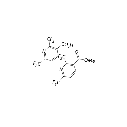 COC(=O)c1ccc(C(F)(F)F)nc1C(F)(F)F.O=C(O)c1ccc(C(F)(F)F)nc1C(F)(F)F